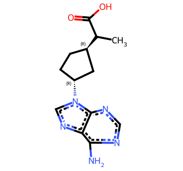 CC(C(=O)O)[C@@H]1CC[C@@H](n2cnc3c(N)ncnc32)C1